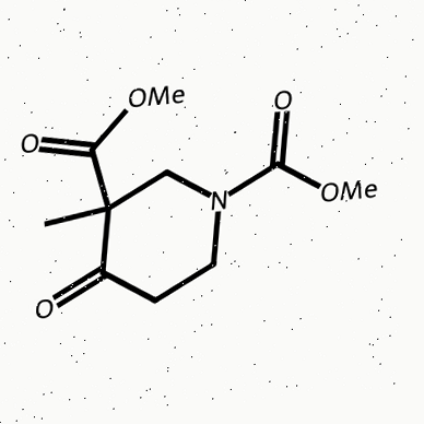 COC(=O)N1CCC(=O)C(C)(C(=O)OC)C1